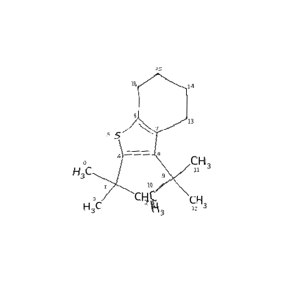 CC(C)(C)c1sc2c(c1C(C)(C)C)CCCC2